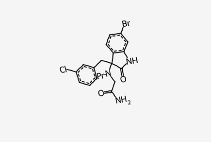 CC(C)N(CC(N)=O)C1(Cc2cccc(Cl)c2)C(=O)Nc2cc(Br)ccc21